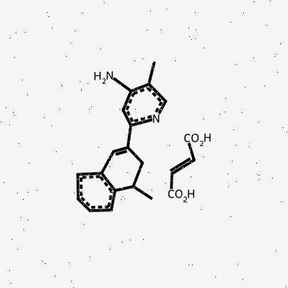 Cc1cnc(C2=Cc3ccccc3C(C)C2)cc1N.O=C(O)/C=C/C(=O)O